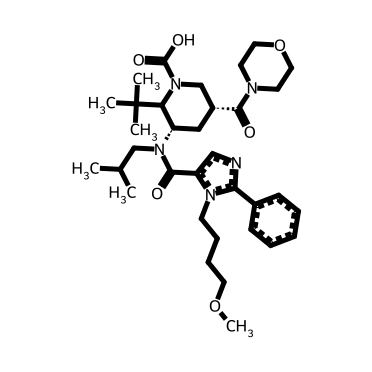 COCCCCn1c(C(=O)N(CC(C)C)[C@H]2C[C@@H](C(=O)N3CCOCC3)CN(C(=O)O)C2C(C)(C)C)cnc1-c1ccccc1